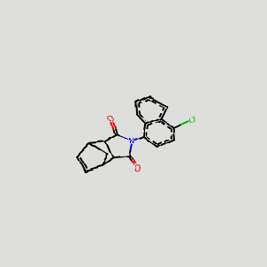 O=C1C2C3C=CC(C3)C2C(=O)N1c1ccc(Cl)c2ccccc12